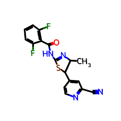 CC1N=C(NC(=O)c2c(F)cccc2F)SC1c1ccnc(C#N)c1